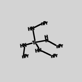 CCC[NH][Ti]([NH]CCC)([NH]CCC)[NH]CCC